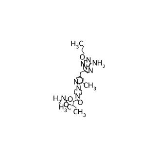 CCCCOc1nc(N)c2ncc(Cc3cnc(N4CCN(C(=O)C(OC(N)=O)C(C)CC)CC4)c(C)c3)n2n1